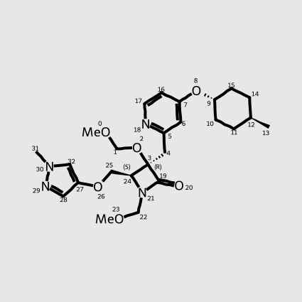 COCO[C@@]1(Cc2cc(O[C@H]3CC[C@H](C)CC3)ccn2)C(=O)N(COC)[C@H]1COc1cnn(C)c1